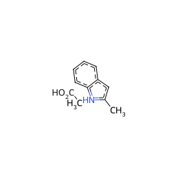 CC(=O)O.Cc1cc2ccccc2[nH]1